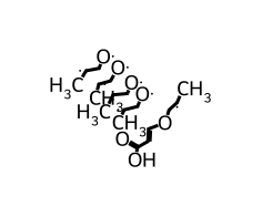 C[CH]COC=CC(=O)O.C[CH]C[O].C[CH]C[O].C[CH]C[O].C[CH]C[O]